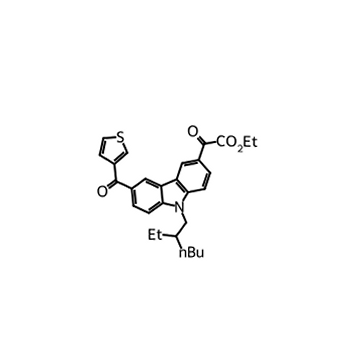 CCCCC(CC)Cn1c2ccc(C(=O)C(=O)OCC)cc2c2cc(C(=O)c3ccsc3)ccc21